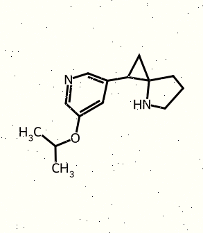 CC(C)Oc1cncc(C2CC23CCCN3)c1